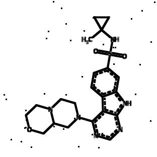 CC1(NS(=O)(=O)c2ccc3c(c2)[nH]c2ncnc(N4CCN5CCOCC5C4)c23)CC1